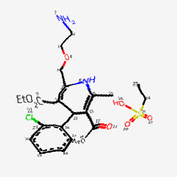 CCOC(=O)C1=C(COCCN)NC(C)=C(C(=O)OC)C1c1ccccc1Cl.CCS(=O)(=O)O